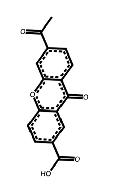 CC(=O)c1ccc2c(=O)c3cc(C(=O)O)ccc3oc2c1